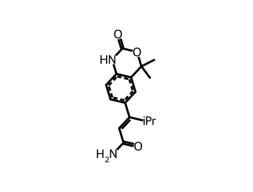 CC(C)/C(=C\C(N)=O)c1ccc2c(c1)C(C)(C)OC(=O)N2